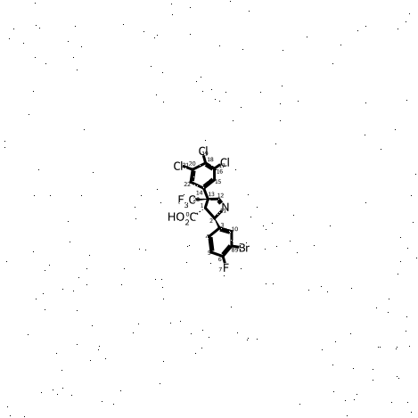 O=C(O)[C@H]1[C@H](c2ccc(F)c(Br)c2)N=C[C@]1(c1cc(Cl)c(Cl)c(Cl)c1)C(F)(F)F